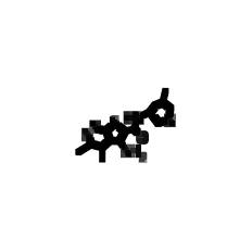 Cc1cncc(NC(=O)c2sc3nnc(C)c(C)c3c2N)c1